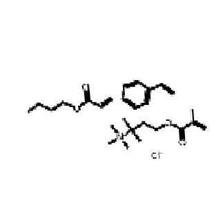 C=C(C)C(=O)OCCC(C)(C)[N+](C)(C)C.C=CC(=O)OCCCC.C=Cc1ccccc1.[Cl-]